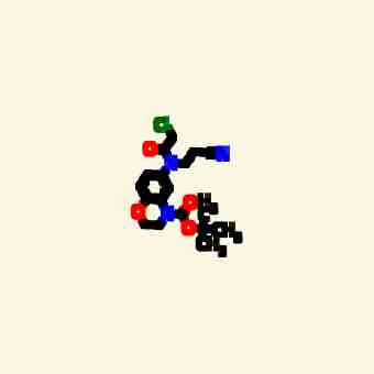 CC(C)(C)OC(=O)N1CCOc2ccc(N(CCC#N)C(=O)CCl)cc21